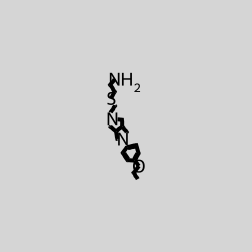 CCOc1ccc(N2CC3CN(CCSCCN)CC3C2)cc1